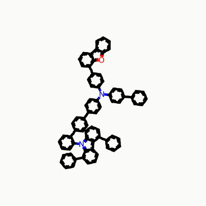 c1ccc(-c2ccc(N(c3ccc(-c4ccc(-c5ccccc5-n5c6cccc(-c7ccccc7)c6c6cccc(-c7ccccc7)c65)cc4)cc3)c3ccc(-c4cccc5c4oc4ccccc45)cc3)cc2)cc1